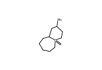 C=P12CCCCCC1CC(C(C)(C)C)CC2